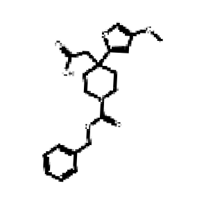 COc1csc(C2(CC(=O)O)CCN(C(=O)OCc3ccccc3)CC2)c1